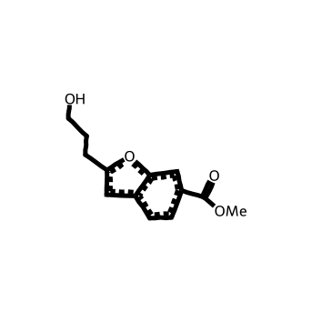 COC(=O)c1ccc2cc(CCCO)oc2c1